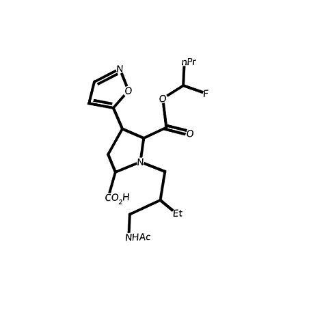 CCCC(F)OC(=O)C1C(c2ccno2)CC(C(=O)O)N1CC(CC)CNC(C)=O